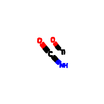 N=C=O.[O]=[Ti]